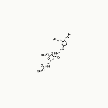 CC(=O)SCc1ccc(OCCNC(=O)[C@H](CCCCNC(=O)OC(C)(C)C)NC(=O)OC(C)(C)C)cc1CSC(C)=O